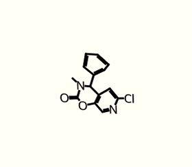 CN1C(=O)Oc2cnc(Cl)cc2C1c1ccccc1